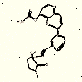 CN1CCC(O)(C#Cc2cccc(-c3ccc4nccc(OC(N)=O)c4n3)c2)C1=O